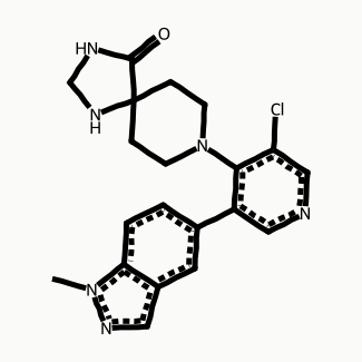 Cn1ncc2cc(-c3cncc(Cl)c3N3CCC4(CC3)NCNC4=O)ccc21